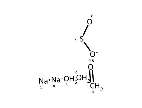 C=O.O.O.[Na+].[Na+].[O-]S[O-]